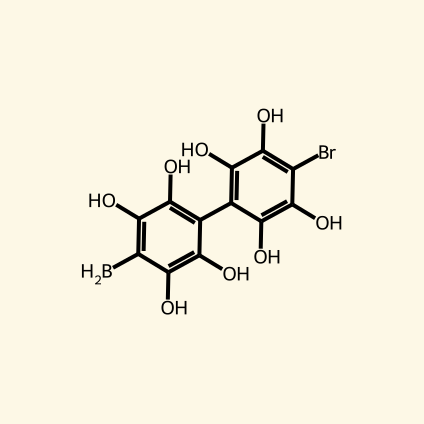 Bc1c(O)c(O)c(-c2c(O)c(O)c(Br)c(O)c2O)c(O)c1O